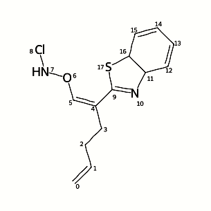 C=CCC/C(=C/ONCl)C1=NC2C=CC=CC2S1